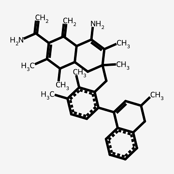 C=C(N)C1=C(C)C(C)C2CC(C)(Cc3c(C4=CC(C)Cc5ccccc54)ccc(C)c3C)C(C)=C(N)C2C1=C